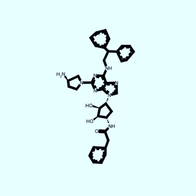 N[C@@H]1CCN(c2nc(NCC(c3ccccc3)c3ccccc3)c3ncn([C@@H]4C[C@H](NC(=O)Cc5ccccc5)[C@@H](O)[C@H]4O)c3n2)C1